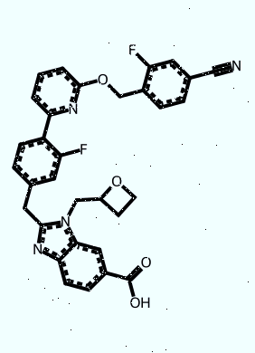 N#Cc1ccc(COc2cccc(-c3ccc(Cc4nc5ccc(C(=O)O)cc5n4CC4CCO4)cc3F)n2)c(F)c1